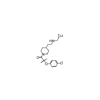 CC(C)(Oc1ccc(Cl)cc1)C(=O)N1CCC(CCNCC2CO2)CC1